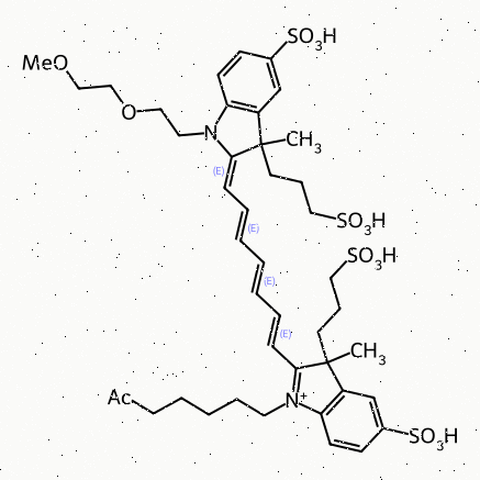 COCCOCCN1/C(=C/C=C/C=C/C=C/C2=[N+](CCCCCC(C)=O)c3ccc(S(=O)(=O)O)cc3C2(C)CCCS(=O)(=O)O)C(C)(CCCS(=O)(=O)O)c2cc(S(=O)(=O)O)ccc21